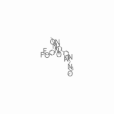 CCOc1ncc2cc(-c3ccc4nc(CCN5CC[C@H](OC)C5)n(C)c4c3)c(=O)n(-c3ccc(OC(F)F)cc3)c2n1